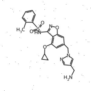 Cc1ccccc1S(=O)(=O)Nc1noc2cc(Cn3cc(CN)cn3)cc(OC3CC3)c12